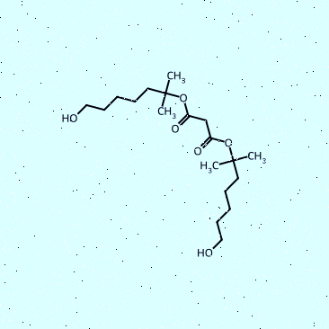 CC(C)(CCCCCO)OC(=O)CC(=O)OC(C)(C)CCCCCO